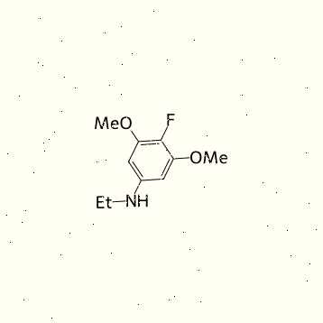 CCNc1cc(OC)c(F)c(OC)c1